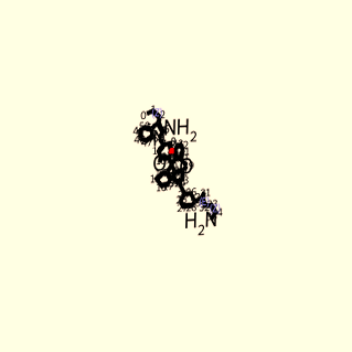 C/C=C\c1c(N)n(-c2ccc3c(c2)Oc2ccccc2C32C3=C(C=C(C4CC=CC(/C(C)=C/C=C\N)C4)CC3)Oc3ccccc32)c2ccccc12